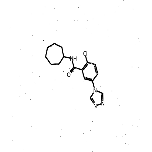 O=C(NC1CCCCCC1)c1cc(-n2cnnc2)ccc1Cl